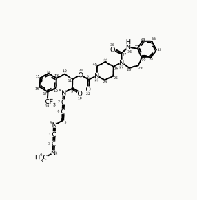 CN=C=C=NC=C=C=NC(=O)[C@@H](Cc1cccc(C(F)(F)F)c1)OC(=O)N1CCC(N2CCc3ccccc3NC2=O)CC1